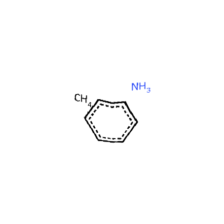 C.N.c1ccccc1